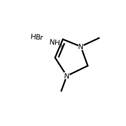 Br.CN1C=CN(C)C1.N